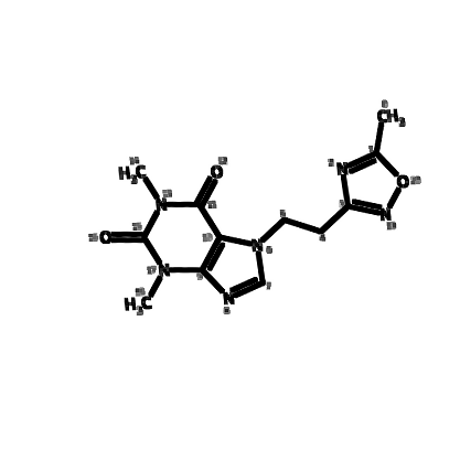 Cc1nc(CCn2cnc3c2c(=O)n(C)c(=O)n3C)no1